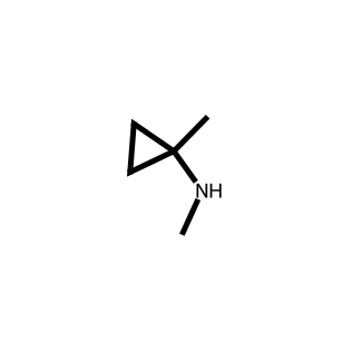 CNC1(C)CC1